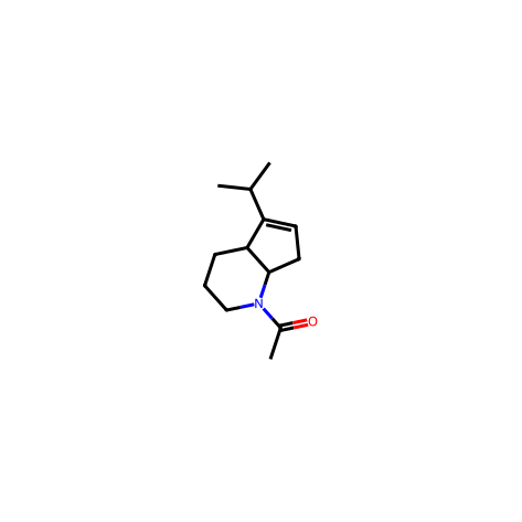 CC(=O)N1CCCC2C(C(C)C)=CCC21